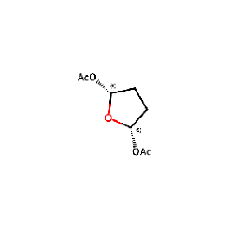 CC(=O)O[C@H]1CC[C@@H](OC(C)=O)O1